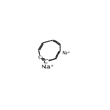 [C-]1=[C-]C=CC=CC=C1.[Na+].[Na+]